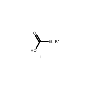 CCC(=O)O.[I-].[K+]